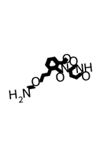 NCCOCCCc1cccc2c1C(=O)N(C1CCC(=O)NC1=O)C2=O